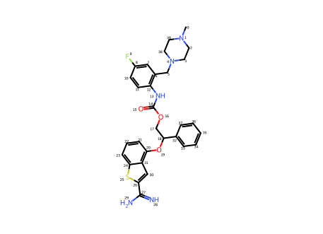 CN1CCN(Cc2cc(F)ccc2NC(=O)OCC(Oc2cccc3sc(C(=N)N)cc23)c2ccccc2)CC1